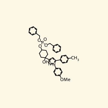 COc1ccc(-n2nc(C3(O)CCC(OP(=O)(OCc4ccccc4)OCc4ccccc4)CC3)cc2-c2ccc(C)cc2)cc1